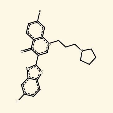 O=c1c(-c2nc3cc(F)ccc3s2)cn(CCCN2CCCC2)c2cc(F)ccc12